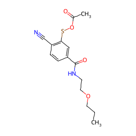 CCCOCCNC(=O)c1ccc(C#N)c(SOC(C)=O)c1